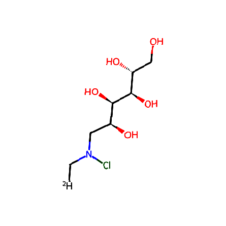 [2H]CN(Cl)C[C@H](O)[C@@H](O)[C@H](O)[C@H](O)CO